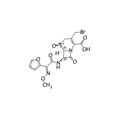 CON=C(C(=O)N[C@@H]1C(=O)N2C(C(=O)O)=C(CBr)C[S@+]([O-])[C@H]12)c1ccco1